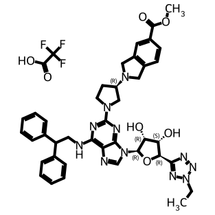 CCn1nnc([C@H]2O[C@@H](n3cnc4c(NCC(c5ccccc5)c5ccccc5)nc(N5CC[C@@H](N6Cc7ccc(C(=O)OC)cc7C6)C5)nc43)[C@H](O)[C@@H]2O)n1.O=C(O)C(F)(F)F